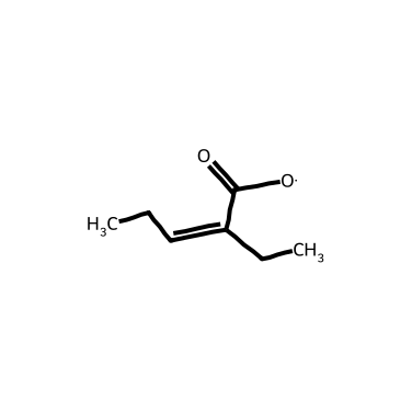 CCC=C(CC)C([O])=O